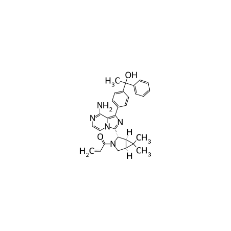 C=CC(=O)N1C[C@H]2[C@@H]([C@H]1c1nc(-c3ccc(C(C)(O)c4ccccc4)cc3)c3c(N)nccn13)C2(C)C